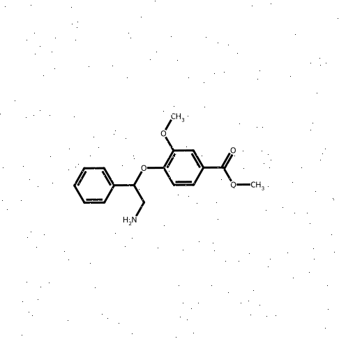 COC(=O)c1ccc(OC(CN)c2ccccc2)c(OC)c1